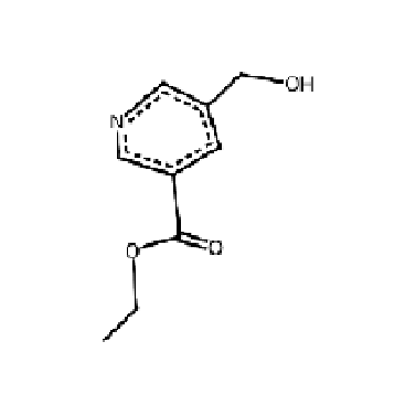 CCOC(=O)c1cncc(CO)c1